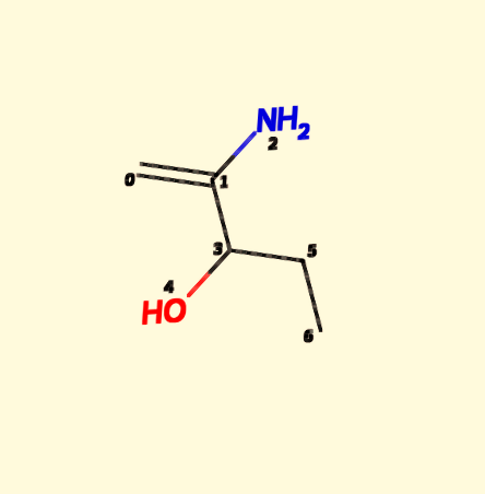 C=C(N)C(O)CC